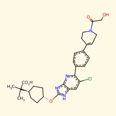 CC(C)(C(=O)O)[C@H]1CC[C@H](Oc2nc3nc(-c4ccc(C5=CCN(C(=O)CO)CC5)cc4)c(Cl)cc3[nH]2)CC1